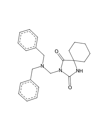 O=C1NC2(CCCCC2)C(=O)N1CN(Cc1ccccc1)Cc1ccccc1